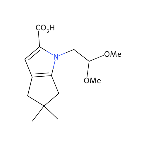 COC(Cn1c(C(=O)O)cc2c1CC(C)(C)C2)OC